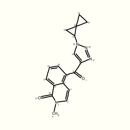 Cn1ccc2c(C(=O)c3cn(C4CC45CC5)nn3)cccc2c1=O